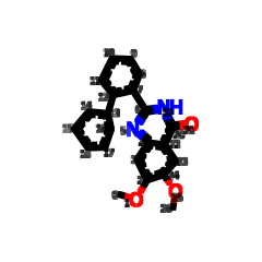 COc1cc2nc(-c3ccccc3-c3ccccc3)[nH]c(=O)c2cc1OC